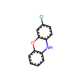 Clc1ccc2c(c1)Oc1ccccc1N2